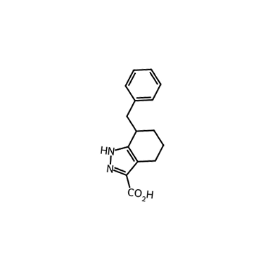 O=C(O)c1n[nH]c2c1CCCC2Cc1ccccc1